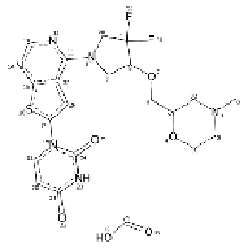 CN1CCOC(COC2CN(c3ncnc4sc(-n5ccc(=O)[nH]c5=O)cc34)CC2(F)F)C1.O=CO